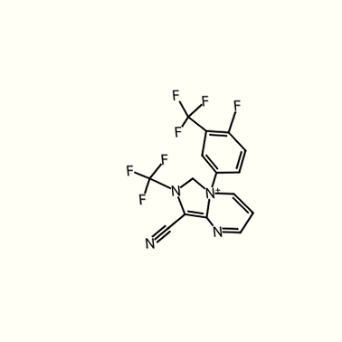 N#CC1=C2N=CC=C[N+]2(c2ccc(F)c(C(F)(F)F)c2)CN1C(F)(F)F